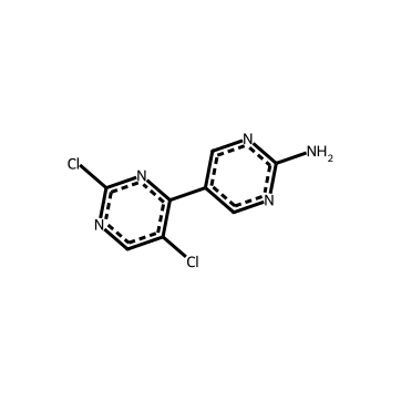 Nc1ncc(-c2nc(Cl)ncc2Cl)cn1